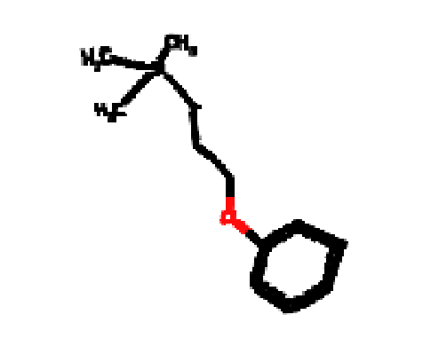 C[Si](C)(C)[CH]CCOc1ccccc1